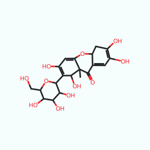 CC12C(=O)C3=CC(O)=C(O)CC3OC1=CC(O)=C(C1OC(CO)C(O)C(O)C1O)C2O